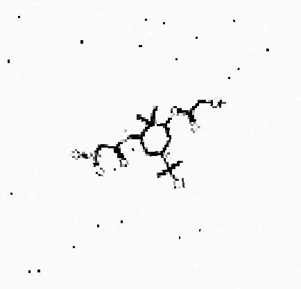 CC1(C)C(OC(=O)CO)C[C@@H](C(C)(C)O)CC1OC(=O)C[N+](=O)[O-]